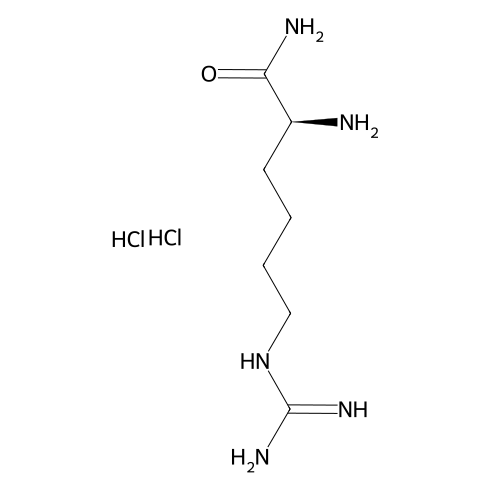 Cl.Cl.N=C(N)NCCCC[C@H](N)C(N)=O